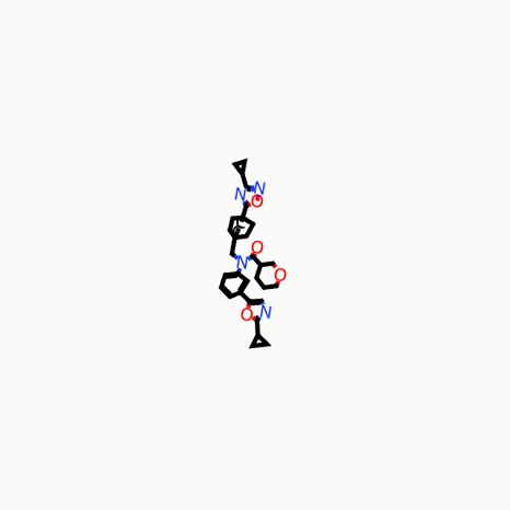 O=C(C1CCCOC1)N(CC12CCC(c3nc(C4CC4)no3)(CC1)CC2)c1cccc(-c2cnc(C3CC3)o2)c1